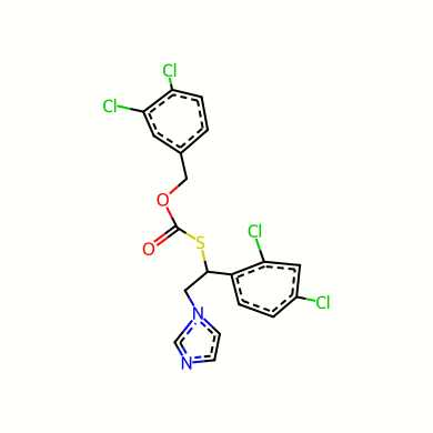 O=C(OCc1ccc(Cl)c(Cl)c1)SC(Cn1ccnc1)c1ccc(Cl)cc1Cl